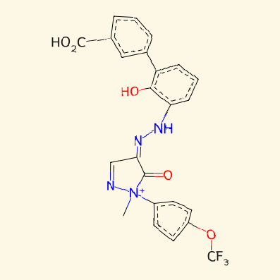 C[N+]1(c2ccc(OC(F)(F)F)cc2)N=CC(=NNc2cccc(-c3cccc(C(=O)O)c3)c2O)C1=O